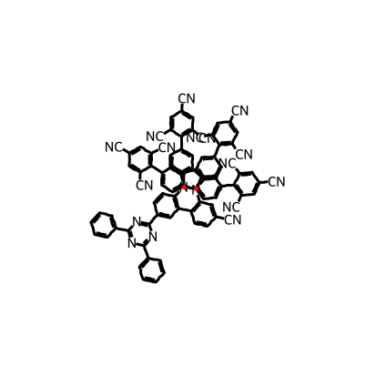 N#Cc1cc(C#N)c(-c2ccc3c(c2)c2cc(-c4c(C#N)cc(C#N)cc4C#N)ccc2n3-c2ccc(-c3nc(-c4ccccc4)nc(-c4ccccc4)n3)cc2-c2ccc(C#N)cc2-n2c3ccc(-c4c(C#N)cc(C#N)cc4C#N)cc3c3cc(-c4c(C#N)cc(C#N)cc4C#N)ccc32)c(C#N)c1